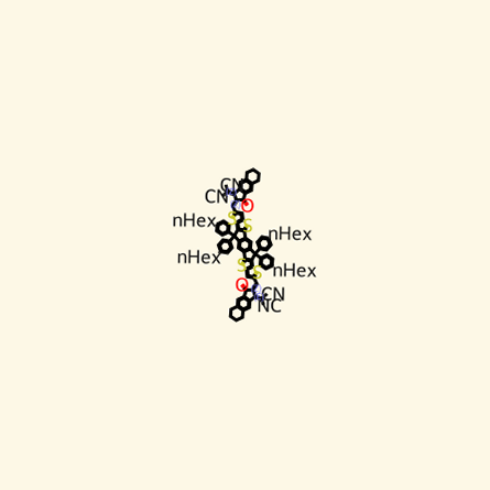 [C-]#[N+]/C(C#N)=C1\C(=C\c2cc3sc4c(c3s2)C(c2ccc(CCCCCC)cc2)(c2ccc(CCCCCC)cc2)c2cc3c(cc2-4)C(c2ccc(CCCCCC)cc2)(c2ccc(CCCCCC)cc2)c2c-3sc3cc(/C=C4\C(=O)c5cc6c(cc5\C4=C(\C#N)[N+]#[C-])CCCC6)sc23)C(=O)c2cc3c(cc21)CCCC3